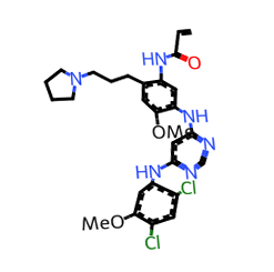 C=CC(=O)Nc1cc(Nc2cc(Nc3cc(OC)c(Cl)cc3Cl)ncn2)c(OC)cc1CCCN1CCCC1